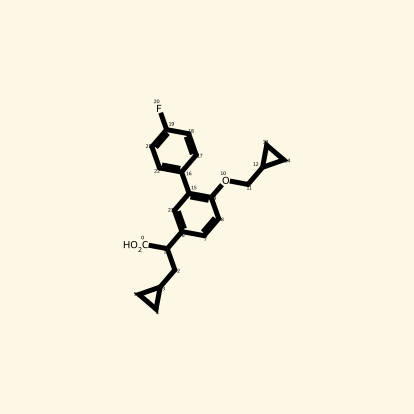 O=C(O)C(CC1CC1)c1ccc(OCC2CC2)c(-c2ccc(F)cc2)c1